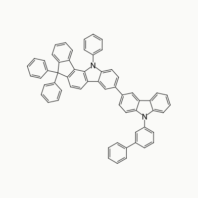 c1ccc(-c2cccc(-n3c4ccccc4c4cc(-c5ccc6c(c5)c5ccc7c(c5n6-c5ccccc5)-c5ccccc5C7(c5ccccc5)c5ccccc5)ccc43)c2)cc1